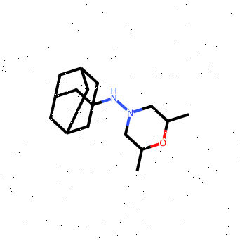 CC1CN(NC23CC4CC(CC(C4)C2)C3)CC(C)O1